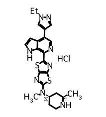 CCn1cc(-c2cnc(-c3nc4sc(N(C)[C@H]5CCN[C@H](C)C5)nc4s3)c3[nH]ccc23)cn1.Cl